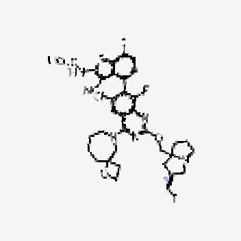 N#Cc1c(NC(=O)O)sc2c(F)ccc(-c3c(Cl)cc4c(N5CCCCC6(CCO6)C5)nc(OCC56CCCN5C/C(=C\F)C6)nc4c3F)c12